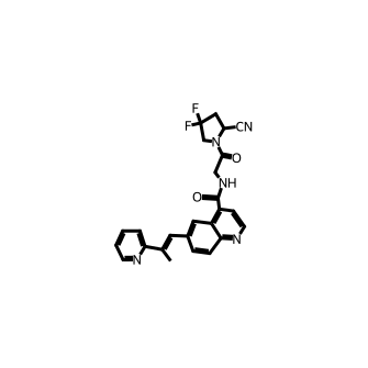 C/C(=C\c1ccc2nccc(C(=O)NCC(=O)N3CC(F)(F)CC3C#N)c2c1)c1ccccn1